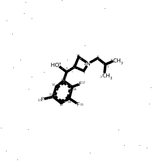 C[C](C)CN1CC(C(O)c2cc(F)cc(F)c2F)C1